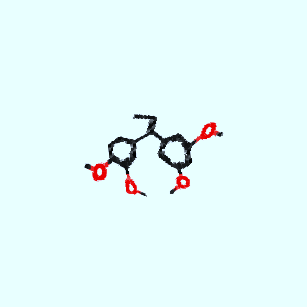 C/C=C(/c1cc(OC)cc(OC)c1)c1ccc(OC)c(OC)c1